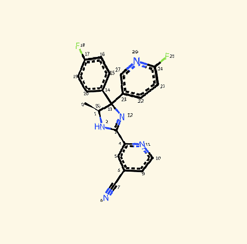 C[C@@H]1NC(c2cc(C#N)ccn2)=NC1(c1ccc(F)cc1)c1ccc(F)nc1